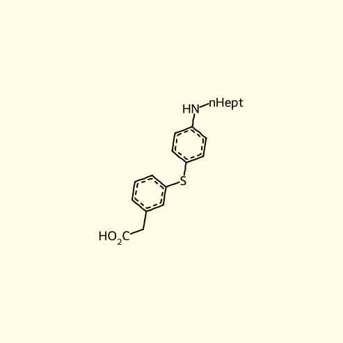 CCCCCCCNc1ccc(Sc2cccc(CC(=O)O)c2)cc1